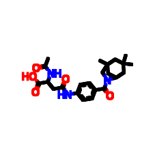 CC(=O)NC(CC(=O)Nc1ccc(C(=O)N2CC3(C)CC2CC(C)(C)C3)cc1)C(=O)O